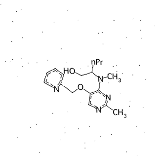 CCCC(CO)N(C)c1nc(C)ncc1OCc1ccccn1